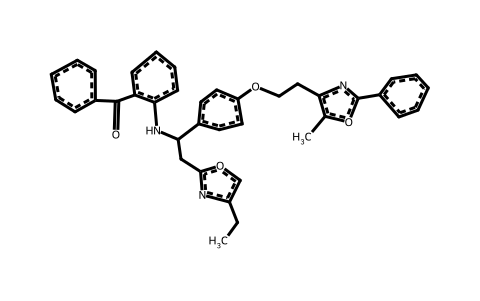 CCc1coc(CC(Nc2ccccc2C(=O)c2ccccc2)c2ccc(OCCc3nc(-c4ccccc4)oc3C)cc2)n1